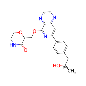 C[C@@H](O)Cc1ccc(-c2cc3nccnc3c(OCC3OCCNC3=O)n2)cc1